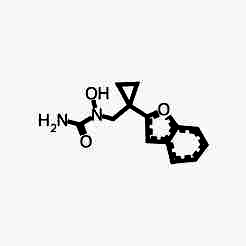 NC(=O)N(O)CC1(c2cc3ccccc3o2)CC1